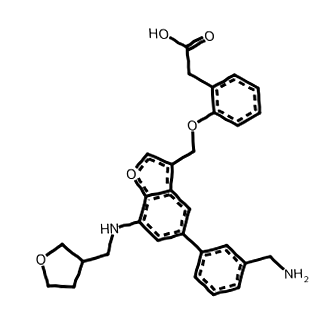 NCc1cccc(-c2cc(NCC3CCOC3)c3occ(COc4ccccc4CC(=O)O)c3c2)c1